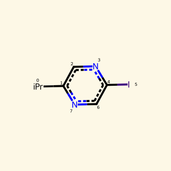 CC(C)c1cnc(I)cn1